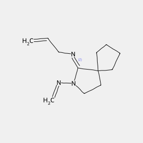 C=CC/N=C1\N(N=C)CCC12CCCC2